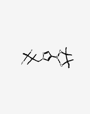 CC(F)(F)C(C)(C)Cn1cc(B2OC(C)(C)C(C)(C)O2)cn1